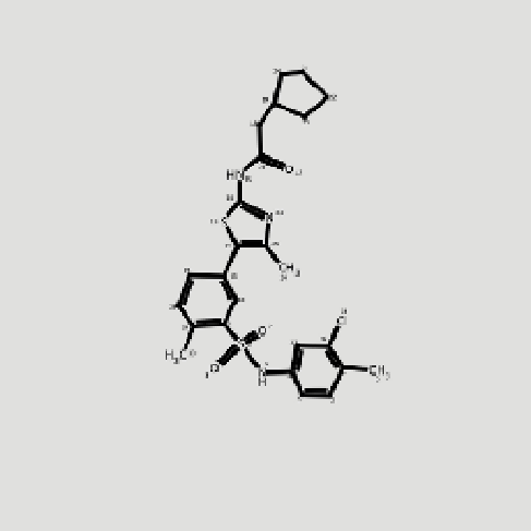 Cc1ccc(NS(=O)(=O)c2cc(-c3sc(NC(=O)CC4CCCC4)nc3C)ccc2C)cc1Cl